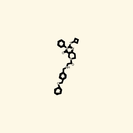 O=C(CNCc1ccc(COc2ccccc2)cc1)N1CCc2nc(SC3CCC3)n(-c3ccccc3)c(=O)c2C1